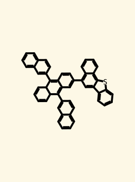 C1=CC2C(c3ccc4ccccc4c3)=c3ccc(-c4cc5c6ccccc6sc5c5ccccc45)cc3=C(c3ccc4ccccc4c3)C2C=C1